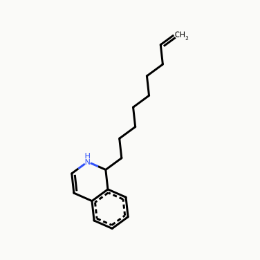 C=CCCCCCCCC1NC=Cc2ccccc21